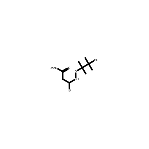 CCC(BOC(C)(C)C(C)(C)O)CC(=O)OC